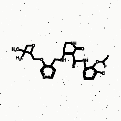 CC1(C)COC1COc1cnccc1CNC1=C(C(=S)Nc2cccc(Cl)c2OC(F)F)C(=O)NCC1